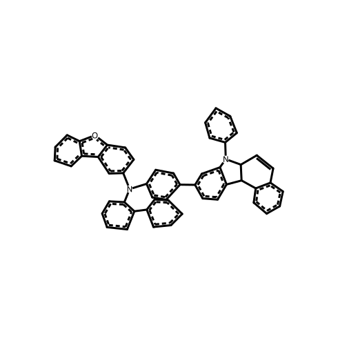 C1=CC2C(c3ccccc31)c1ccc(-c3ccc(N(c4ccc5oc6ccccc6c5c4)c4ccccc4-c4ccccc4)cc3)cc1N2c1ccccc1